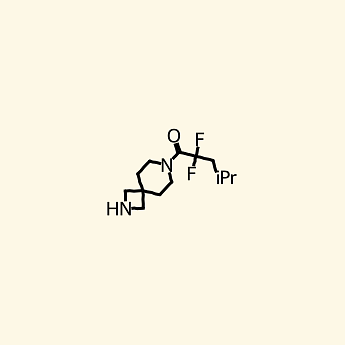 CC(C)CC(F)(F)C(=O)N1CCC2(CC1)CNC2